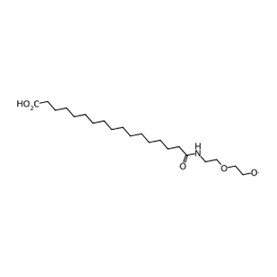 [O]CCOCCNC(=O)CCCCCCCCCCCCCCCC(=O)O